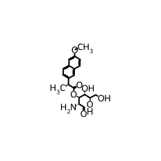 COc1ccc2cc([C@H](C)C(=O)O[C@@H]([C@H](O)[C@H](O)CO)[C@@H](N)C=O)ccc2c1